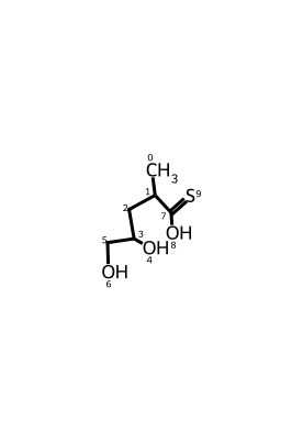 CC(CC(O)CO)C(O)=S